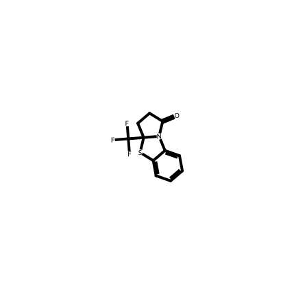 O=C1CCC2(C(F)(F)F)Sc3ccccc3N12